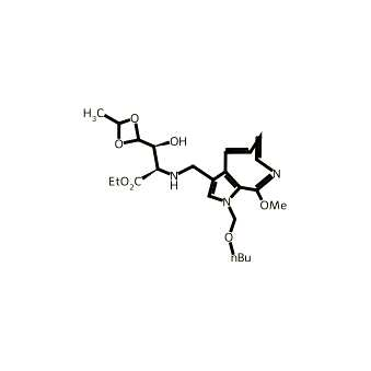 CCCCOCn1cc(CN[C@@H](C(=O)OCC)[C@H](O)C2OC(C)O2)c2c1\C(OC)=N/C=C/C=C/2